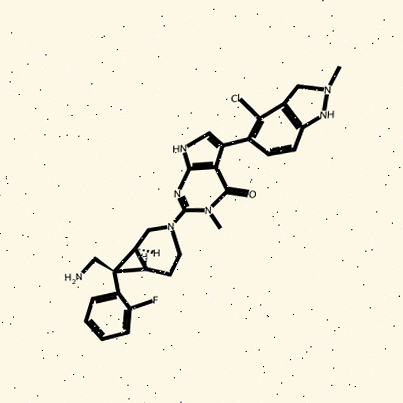 CN1Cc2c(ccc(-c3c[nH]c4nc(N5CC[C@@H]6[C@H](C5)[C@@]6(CN)c5ccccc5F)n(C)c(=O)c34)c2Cl)N1